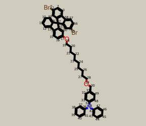 Brc1ccc2c(c1)C1(c3ccccc3-c3ccc(OCCCCCCCCCCOCc4ccc(N(c5ccccc5)c5ccccc5)cc4)cc31)c1cc(Br)ccc1-2